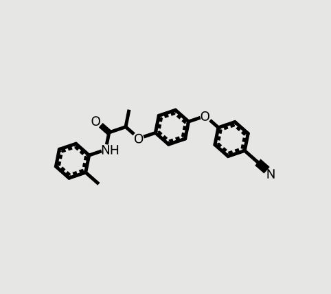 Cc1ccccc1NC(=O)C(C)Oc1ccc(Oc2ccc(C#N)cc2)cc1